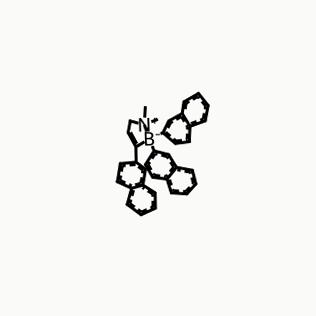 C[N+]1(C)CC=C(c2ccc3ccccc3c2)[B-]1(c1ccc2ccccc2c1)c1ccc2ccccc2c1